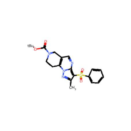 Cc1nn2c3c(cnc2c1S(=O)(=O)c1ccccc1)CN(C(=O)OC(C)(C)C)CC3